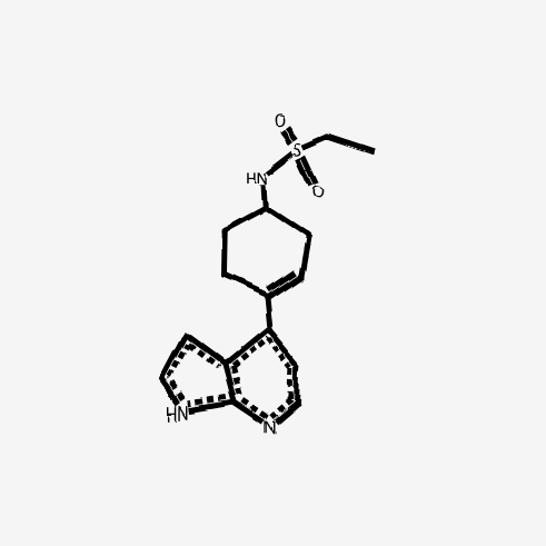 CCS(=O)(=O)NC1CC=C(c2ccnc3[nH]ccc23)CC1